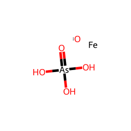 O=[As](O)(O)O.[Fe].[O]